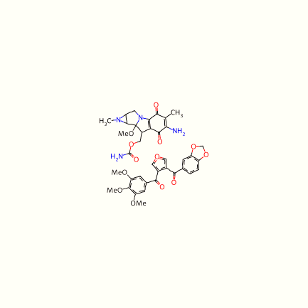 COC12C(COC(N)=O)C3=C(C(=O)C(C)=C(N)C3=O)N1CC1C2N1C.COc1cc(C(=O)c2cocc2C(=O)c2ccc3c(c2)OCO3)cc(OC)c1OC